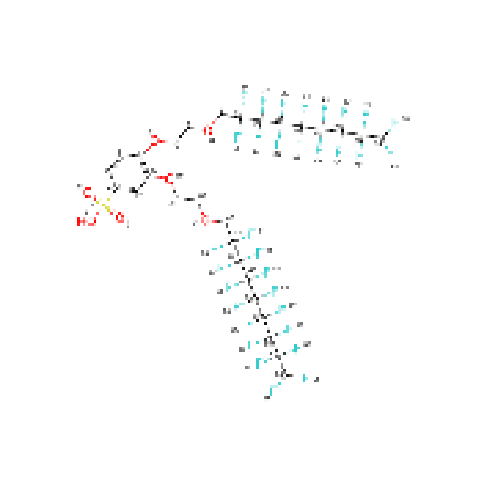 O=S(=O)(O)c1ccc(OCCOCC(F)(F)C(F)(F)C(F)(F)C(F)(F)C(F)(F)C(F)(F)C(F)(F)C(F)F)c(OCCOCC(F)(F)C(F)(F)C(F)(F)C(F)(F)C(F)(F)C(F)(F)C(F)(F)C(F)F)c1